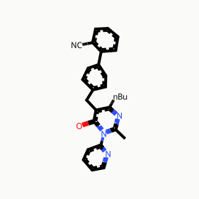 CCCCc1nc(C)n(-c2ccccn2)c(=O)c1Cc1ccc(-c2ccccc2C#N)cc1